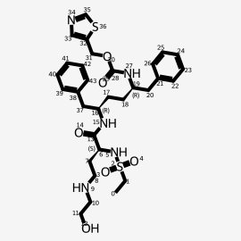 CCS(=O)(=O)N[C@@H](CCNCCO)C(=O)N[C@H](CC[C@H](Cc1ccccc1)NC(=O)OCc1cncs1)Cc1ccccc1